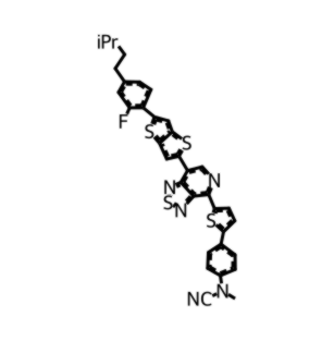 CC(C)CCc1ccc(-c2cc3sc(-c4cnc(-c5ccc(-c6ccc(N(C)C#N)cc6)s5)c5nsnc45)cc3s2)c(F)c1